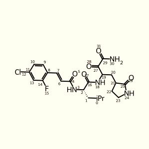 CC(C)C[C@H](NC(=O)/C=C/c1ccc(Cl)cc1F)C(=O)NC(CC1CCNC1=O)C(=O)C(N)=O